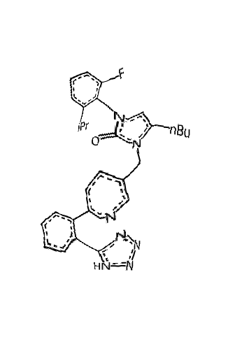 CCCCc1cn(-c2c(F)cccc2C(C)C)c(=O)n1Cc1ccc(-c2ccccc2-c2nnn[nH]2)nc1